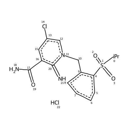 CC(C)S(=O)(=O)c1ccccc1Cn1cc(Cl)cc(C(N)=O)c1=N.Cl